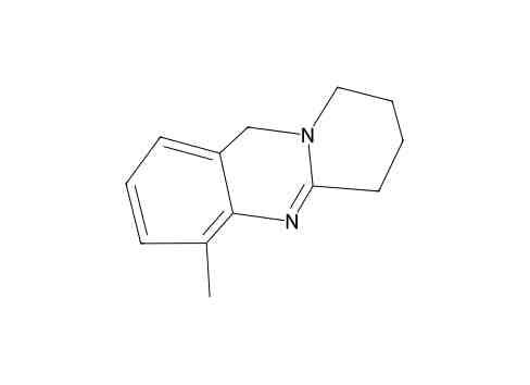 Cc1cccc2c1N=C1CCCCN1C2